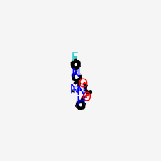 C=C(OCc1ccccc1)C(C=O)N/C(CC1(C)CCN(c2ccc(F)cc2)CC1)=N\C